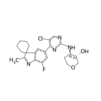 CC1=Nc2c(F)cc(-c3nc(N[C@@H]4CCOC[C@H]4O)ncc3Cl)cc2C12CCCCC2